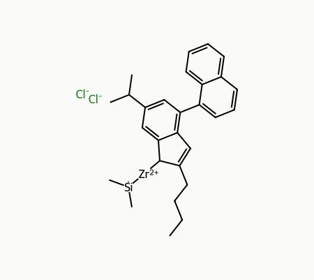 CCCCC1=Cc2c(-c3cccc4ccccc34)cc(C(C)C)cc2[CH]1[Zr+2][Si](C)C.[Cl-].[Cl-]